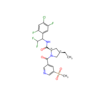 CC[C@@H]1C[C@H](C(=O)NC(c2cc(F)c(Cl)cc2F)C(F)F)N(C(=O)c2cncc(S(C)(=O)=O)c2)C1